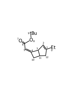 CCC1=CC2C(=CC(=O)OC(C)(C)C)CC2C1